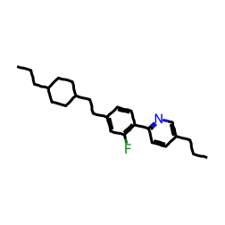 CCCc1ccc(-c2ccc(CCC3CCC(CCC)CC3)cc2F)nc1